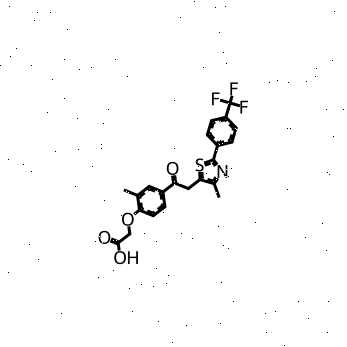 Cc1cc(C(=O)Cc2sc(-c3ccc(C(F)(F)F)cc3)nc2C)ccc1OCC(=O)O